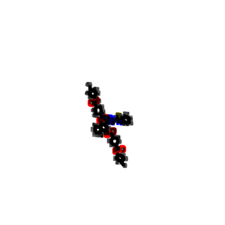 Cc1ccc(OC(=O)C2CCC(C(=O)Oc3cc(/C=N/Nc4nc5ccccc5s4)c(OC(=O)C4CCC(C(=O)Oc5ccc(C)cc5)CC4)c4ccccc34)CC2)cc1